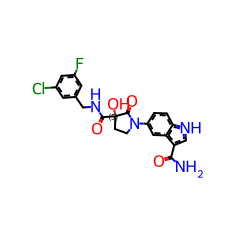 NC(=O)c1c[nH]c2ccc(N3CC[C@](O)(C(=O)NCc4cc(F)cc(Cl)c4)C3=O)cc12